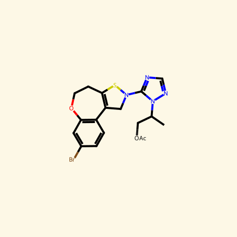 CC(=O)OCC(C)n1ncnc1N1CC2=C(CCOc3cc(Br)ccc32)S1